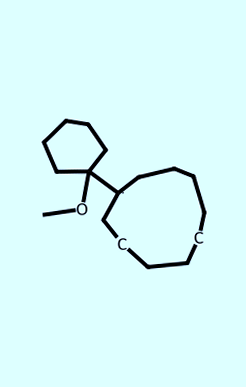 COC1([C]2CCCCCCCCC2)CCCCC1